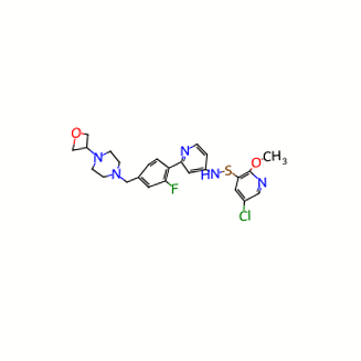 COc1ncc(Cl)cc1SNc1ccnc(-c2ccc(CN3CCN(C4COC4)CC3)cc2F)c1